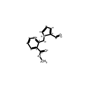 COC(=O)c1cccnc1Cn1cccc1C=O